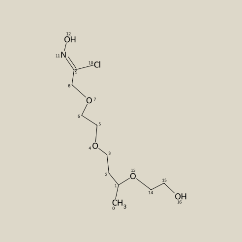 CC(CCOCCOC/C(Cl)=N/O)OCCO